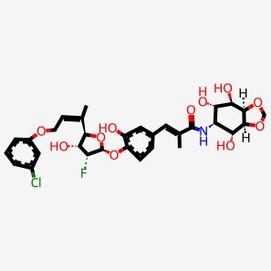 C/C(=C/COc1cccc(Cl)c1)[C@H]1O[C@@H](Oc2ccc(/C=C(\C)C(=O)N[C@@H]3[C@H](O)[C@@H](O)[C@H]4OCO[C@H]4[C@@H]3O)cc2O)[C@H](F)[C@@H]1O